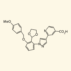 COc1ccc(COc2cccc(-n3cc(-c4cc(C(=O)O)ccn4)cn3)c2C2OCCO2)cc1